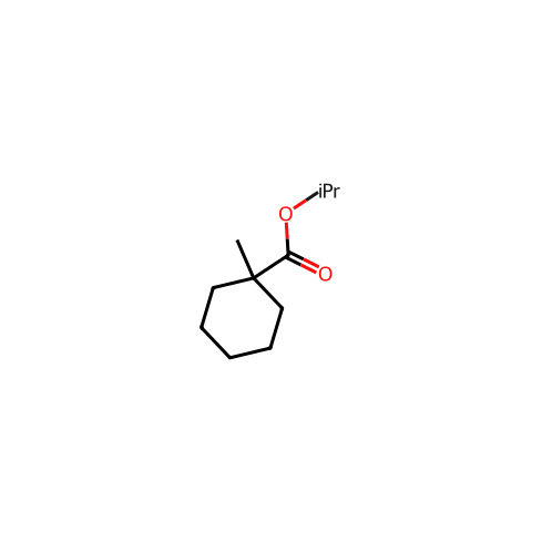 CC(C)OC(=O)C1(C)CCCCC1